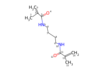 C=C(C)C(=O)NCCCCNC(=O)C(=C)C